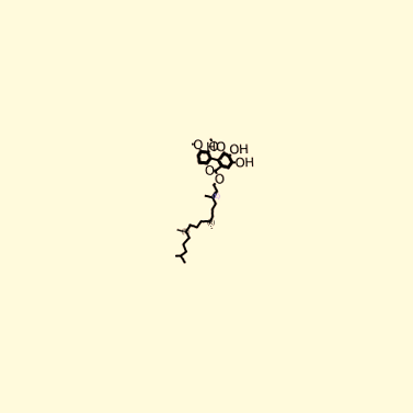 COc1cccc(-c2c(C(=O)OC/C=C(\C)CCC[C@H](C)CCC[C@H](C)CCCC(C)C)cc(O)c(O)c2O)c1OC